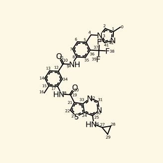 Cc1cn(Cc2ccc(NC(=O)c3ccc(C)c(NC(=O)c4csc5c(NC6CC6)ncnc45)c3)cc2C(F)(F)F)cn1